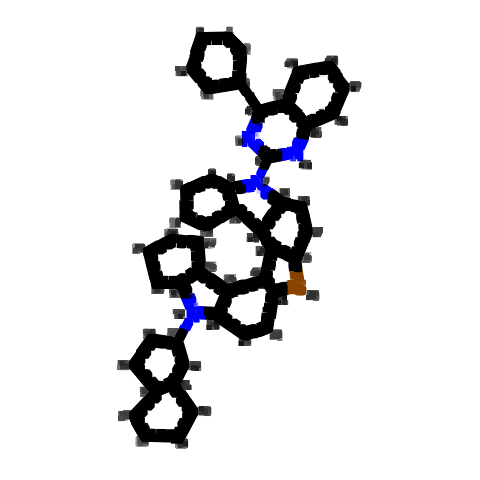 c1ccc(-c2nc(-n3c4ccccc4c4c5c(ccc43)sc3ccc4c(c6ccccc6n4-c4ccc6ccccc6c4)c35)nc3ccccc23)cc1